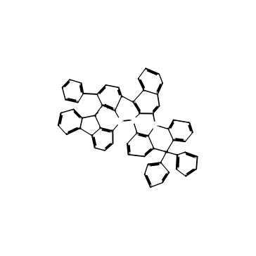 CC12c3ccccc3-c3cccc(c31)N1B3c4cccc5c4N(c4ccccc4C5(c4ccccc4)c4ccccc4)c4cc5ccccc5c(c43)-c3ccc(-c4ccccc4)c2c31